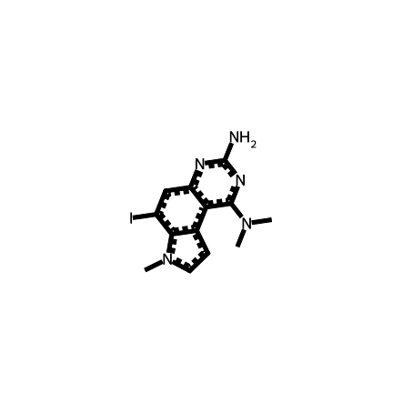 CN(C)c1nc(N)nc2cc(I)c3c(ccn3C)c12